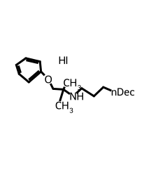 CCCCCCCCCCCCCNC(C)(C)COc1ccccc1.I